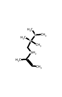 CC=C(C)[SiH2]C[Si](C)(C)N(C)C